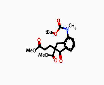 COC(=O)CCC1(C(=O)OC)Cc2c(cccc2N(C)C(=O)OC(C)(C)C)C1=O